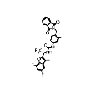 Cc1cc(NC(=O)N[C@H](c2oc3c(F)cc(F)cc3c2C)C(F)(F)F)ccc1CN1C(=O)c2ccccc2C1=O